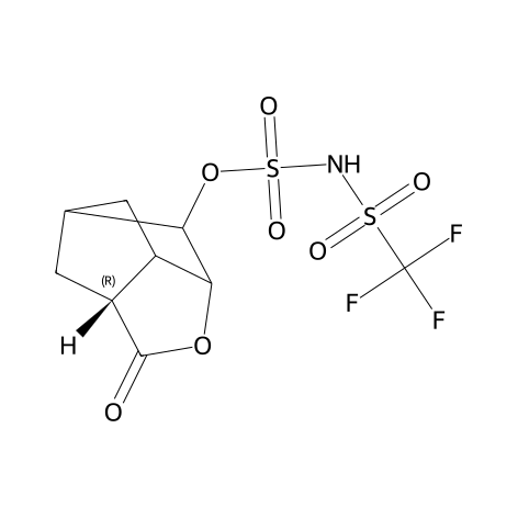 O=C1OC2C(OS(=O)(=O)NS(=O)(=O)C(F)(F)F)C3CC2[C@H]1C3